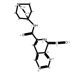 O=C=C1NC(C(=O)NC23CCN(CC2)CC3)=Cc2cncnc21